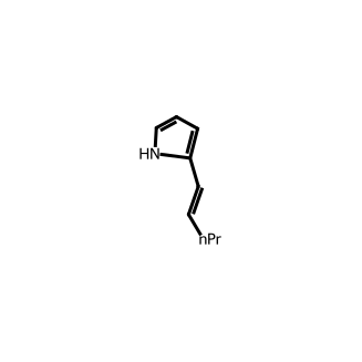 [CH2]CCC=Cc1ccc[nH]1